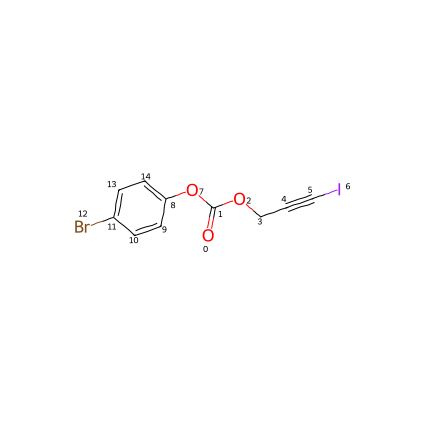 O=C(OCC#CI)Oc1ccc(Br)cc1